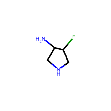 NC1CNCC1F